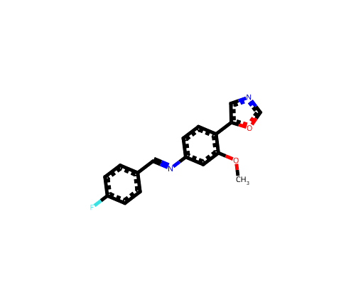 COc1cc(N=Cc2ccc(F)cc2)ccc1-c1cnco1